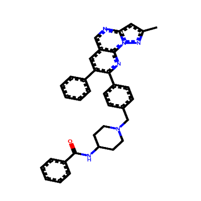 Cc1cc2ncc3cc(-c4ccccc4)c(-c4ccc(CN5CCC(NC(=O)c6ccccc6)CC5)cc4)nc3n2n1